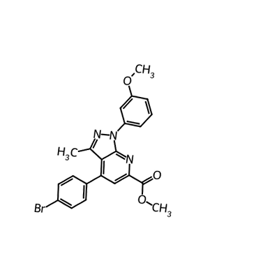 COC(=O)c1cc(-c2ccc(Br)cc2)c2c(C)nn(-c3cccc(OC)c3)c2n1